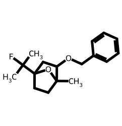 CC12CCC(C(C)(C)F)(CC1OCc1ccccc1)O2